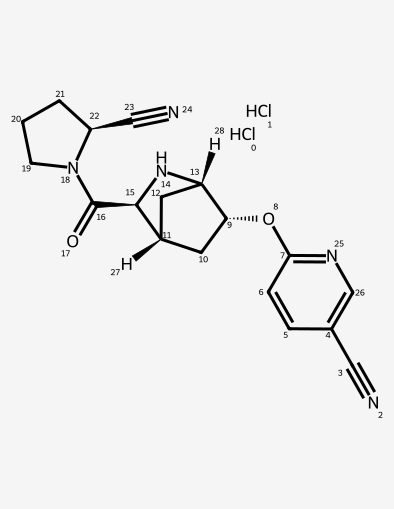 Cl.Cl.N#Cc1ccc(O[C@@H]2C[C@H]3C[C@@H]2N[C@@H]3C(=O)N2CCC[C@H]2C#N)nc1